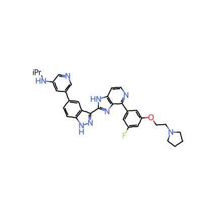 CC(C)Nc1cncc(-c2ccc3[nH]nc(-c4nc5c(-c6cc(F)cc(OCCN7CCCC7)c6)nccc5[nH]4)c3c2)c1